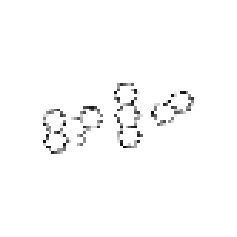 c1ccc2cc(-c3c4ccccc4c(-c4ccc5c(c4)Oc4cccc6cccc-5c46)c4ccccc34)ccc2c1